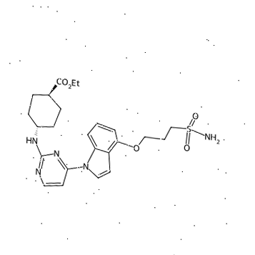 CCOC(=O)[C@H]1CC[C@H](Nc2nccc(-n3ccc4c(OCCCS(N)(=O)=O)cccc43)n2)CC1